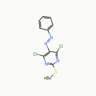 CCCCSc1nc(Cl)c(/N=N/c2ccccc2)c(Cl)n1